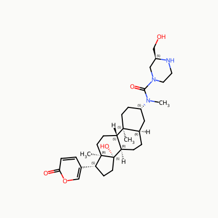 CN(C(=O)N1CCN[C@H](CO)C1)[C@H]1CC[C@@]2(C)[C@H](CC[C@@H]3[C@@H]2CC[C@]2(C)[C@@H](c4ccc(=O)oc4)CC[C@]32O)C1